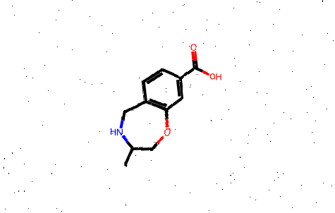 CC1COc2cc(C(=O)O)ccc2CN1